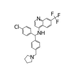 FC(F)(F)c1ccc2c(NC(c3ccc(Cl)cc3)c3ccc(CN4CCCC4)cc3)ccnc2c1